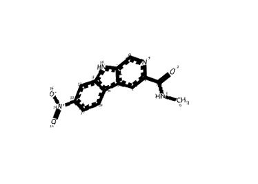 CNC(=O)c1cc2c(cn1)[nH]c1cc([N+](=O)[O-])ccc12